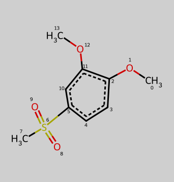 COc1ccc(S(C)(=O)=O)cc1OC